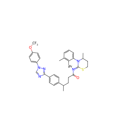 Cc1cccc(N2/C(=N/C(=O)CCC(C)c3ccc(-c4ncn(-c5ccc(OC(F)(F)F)cc5)n4)cc3)SCCC2C)c1C(C)C